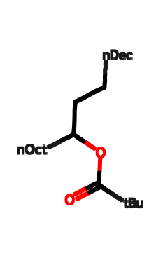 CCCCCCCCCCCCC(CCCCCCCC)OC(=O)C(C)(C)C